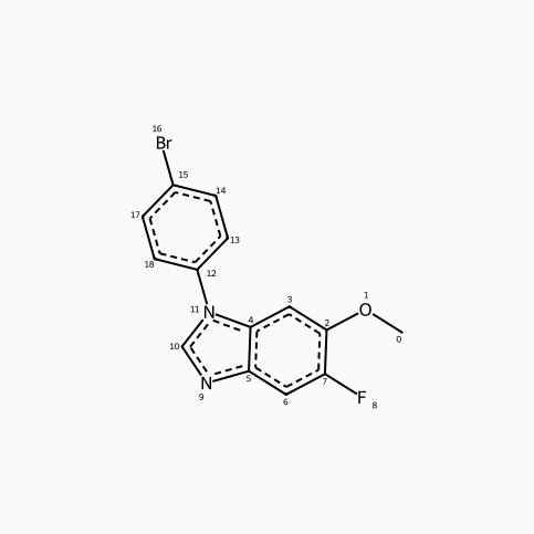 COc1cc2c(cc1F)ncn2-c1ccc(Br)cc1